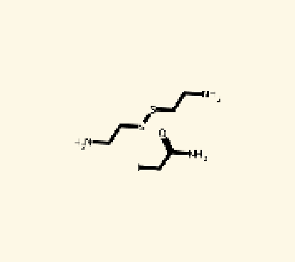 NC(=O)CI.NCCSSCCN